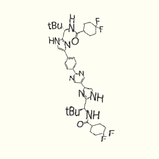 CC(C)(C)[C@H](NC(=O)C1CCC(F)(F)CC1)c1nc(-c2ccc(-c3ncc(-c4c[nH]c([C@@H](NC(=O)C5CCC(F)(F)CC5)C(C)(C)C)n4)cn3)cc2)c[nH]1